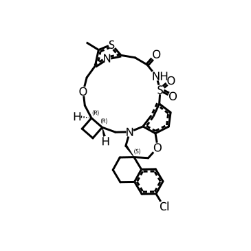 Cc1sc2nc1COC[C@@H]1CC[C@H]1CN1C[C@@]3(CCCc4cc(Cl)ccc43)COc3ccc(cc31)S(=O)(=O)NC(=O)C2